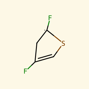 F[C]1CC(F)=CS1